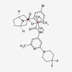 Cc1cc(NC(=O)c2ccc(Br)cc2N2C[C@H]3CC[C@@H](C2)N3C(=O)OC(C)(C)C)cc(N2CCC(F)(F)CC2)n1